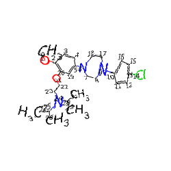 COc1ccc(N2CCN(c3ccc(Cl)cc3)CC2)cc1OCCN(C(C)C)C(C)C